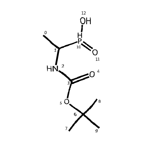 CC(NC(=O)OC(C)(C)C)[PH](=O)O